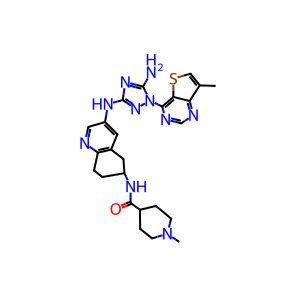 Cc1csc2c(-n3nc(Nc4cnc5c(c4)CC(NC(=O)C4CCN(C)CC4)CC5)nc3N)ncnc12